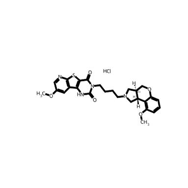 COc1cnc2sc3c(=O)n(CCCCN4C[C@H]5COc6cccc(OC)c6[C@@H]5C4)c(=O)[nH]c3c2c1.Cl